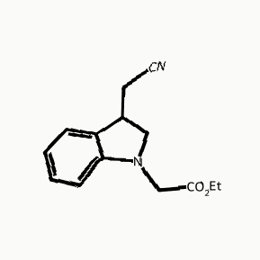 CCOC(=O)CN1CC(CC#N)c2ccccc21